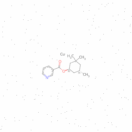 C[C@@H]1C[C@@H](OC(=O)c2cccnc2)CC(C)(C)C1.[Cu]